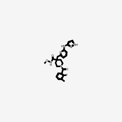 CONC(=O)C1(Cc2cccc(Nc3cc[nH]n3)n2)CCN(C(=O)c2cccc(C)c2F)CC1